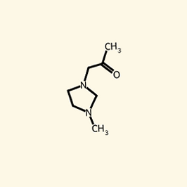 CC(=O)CN1CCN(C)C1